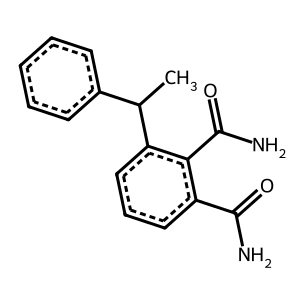 CC(c1ccccc1)c1cccc(C(N)=O)c1C(N)=O